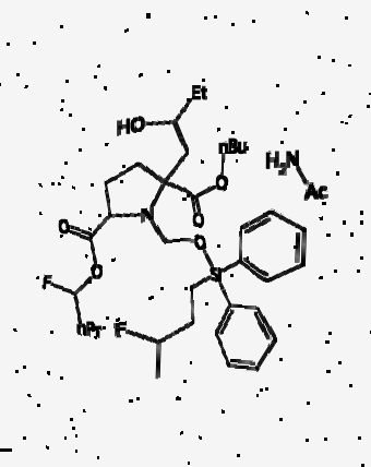 CC(N)=O.CCCCOC(=O)C1(CC(O)CC)CCC(C(=O)OC(F)CCC)N1CO[Si](CCC(C)F)(c1ccccc1)c1ccccc1